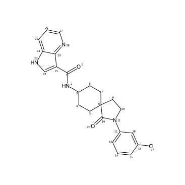 O=C(NC1CCC2(CC1)CCN(c1cccc(Cl)c1)C2=O)c1c[nH]c2cccnc12